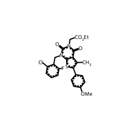 CCOC(=O)Cn1c(=O)c2c(C)c(-c3ccc(OC)cc3)sc2n(Cc2c(F)cccc2Cl)c1=O